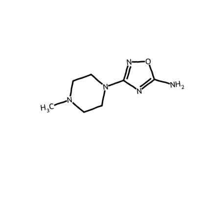 CN1CCN(c2noc(N)n2)CC1